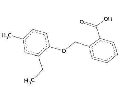 CCc1cc(C)ccc1OCc1ccccc1C(=O)O